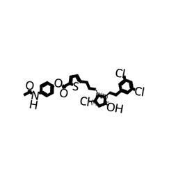 CC(=O)Nc1ccc(OC(=O)c2ccc(CCC[C@@H]3[C@@H](CCc4cc(Cl)cc(Cl)c4)[C@H](O)C[C@H]3Cl)s2)cc1